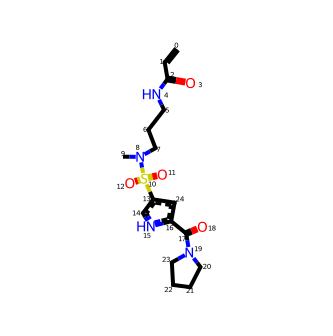 C=CC(=O)NCCCN(C)S(=O)(=O)c1c[nH]c(C(=O)N2CCCC2)c1